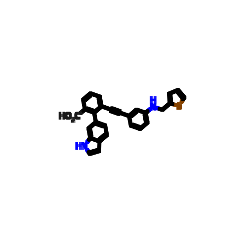 O=C(O)c1cccc(C#Cc2cccc(NCc3cccs3)c2)c1-c1ccc2cc[nH]c2c1